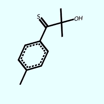 Cc1ccc(C(=S)C(C)(C)O)cc1